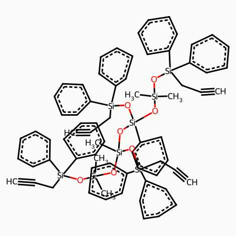 C#CC[Si](O[Si](C)(C)O[Si](C)(O[Si](O[Si](C)(C)O[Si](CC#C)(c1ccccc1)c1ccccc1)(O[Si](CC#C)(c1ccccc1)c1ccccc1)c1ccccc1)O[Si](CC#C)(c1ccccc1)c1ccccc1)(c1ccccc1)c1ccccc1